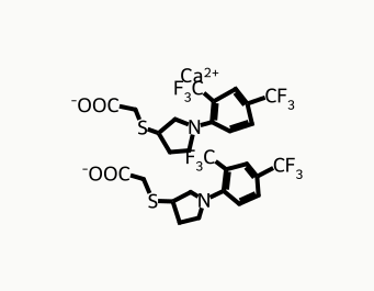 O=C([O-])CSC1CCN(c2ccc(C(F)(F)F)cc2C(F)(F)F)C1.O=C([O-])CSC1CCN(c2ccc(C(F)(F)F)cc2C(F)(F)F)C1.[Ca+2]